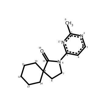 Cc1nccc(N2CCC3(C[CH]CCC3)C2=O)n1